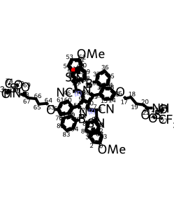 COc1ccc2sc(/C(C#N)=c3/c4c(-c5ccc(OCCCCC(=O)NS(=O)(=O)C(F)(F)F)cc5)n(B(c5ccccc5)c5ccccc5)/c(=C(/C#N)c5nc6cc(OC)ccc6s5)c4c(-c4ccc(OCCCCC(=O)NS(=O)(=O)C(F)(F)F)cc4)n3B(c3ccccc3)c3ccccc3)nc2c1